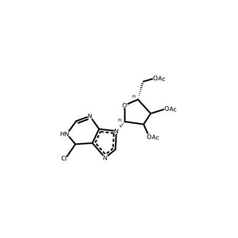 CC(=O)OC[C@H]1O[C@@H](n2cnc3c2N=CNC3Cl)C(OC(C)=O)C1OC(C)=O